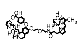 Cc1cc(C)n(CB(F)F)c1/C=C1/C=CC(CCC(=O)NCCOCCOc2cc3c(cc2Oc2ccc(C(=O)O)cc2)[C@@](C)(CC(=O)Nc2nccs2)NCC3)=N1